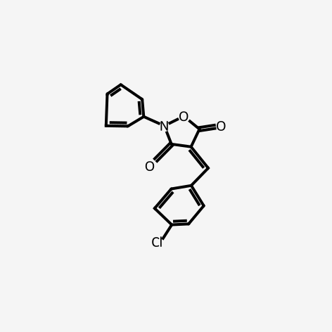 O=C1ON(c2ccccc2)C(=O)C1=Cc1ccc(Cl)cc1